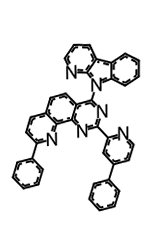 c1ccc(-c2ccnc(-c3nc(-n4c5ccccc5c5cccnc54)c4ccc5ccc(-c6ccccc6)nc5c4n3)c2)cc1